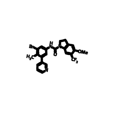 COc1cc2c(cc1C(F)(F)F)N(C(=O)Nc1cc(Br)c(C)c(-c3cccnc3)c1)CC2